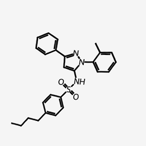 CCCCc1ccc(S(=O)(=O)Nc2cc(-c3ccccc3)nn2-c2ccccc2C)cc1